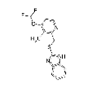 Cc1c(OC(F)F)ccnc1CSc1nc2ccccc2[nH]1